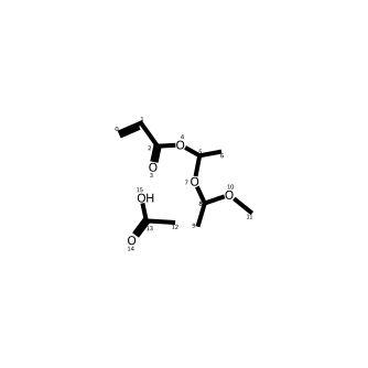 C=CC(=O)OC(C)OC(C)OC.CC(=O)O